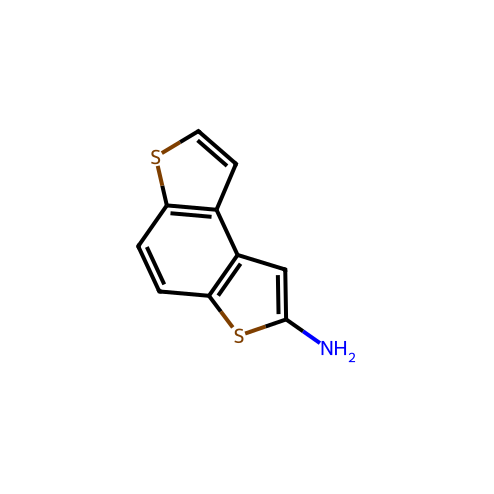 Nc1cc2c(ccc3sccc32)s1